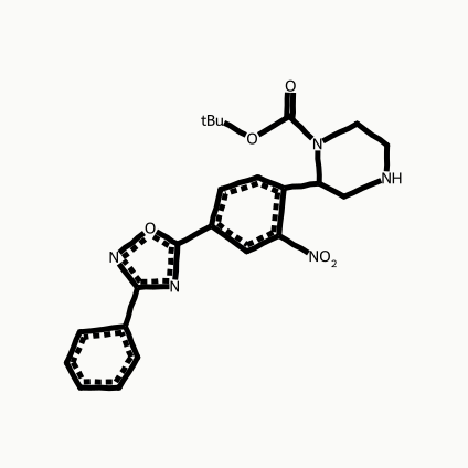 CC(C)(C)OC(=O)N1CCNCC1c1ccc(-c2nc(-c3ccccc3)no2)cc1[N+](=O)[O-]